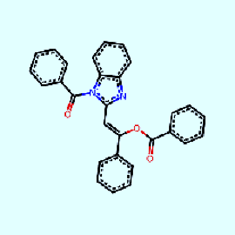 O=C(O/C(=C\c1nc2ccccc2n1C(=O)c1ccccc1)c1ccccc1)c1ccccc1